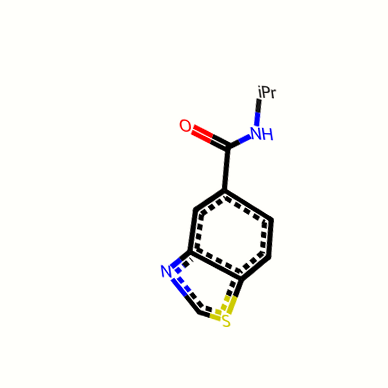 CC(C)NC(=O)c1ccc2scnc2c1